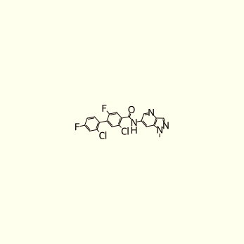 Cn1ncc2ncc(NC(=O)c3cc(F)c(-c4ccc(F)cc4Cl)cc3Cl)cc21